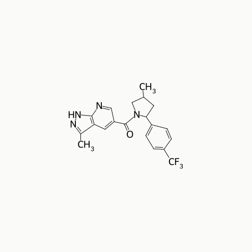 Cc1n[nH]c2ncc(C(=O)N3CC(C)CC3c3ccc(C(F)(F)F)cc3)cc12